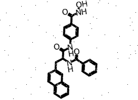 O=C(NO)c1ccc(NC(=O)C(Cc2ccc3ccccc3c2)NC(=O)c2ccccc2)cc1